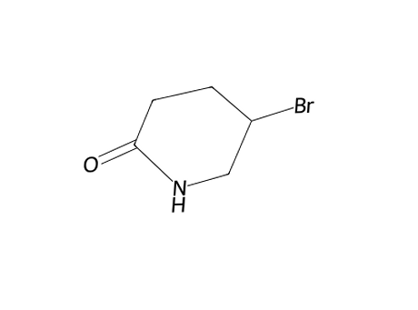 O=C1CCC(Br)CN1